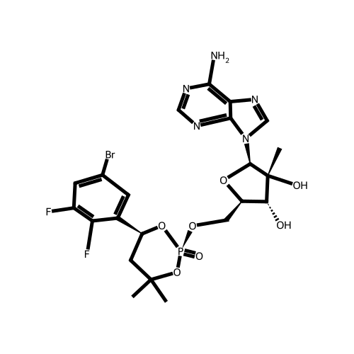 CC1(C)C[C@@H](c2cc(Br)cc(F)c2F)O[P@@](=O)(OC[C@H]2O[C@@H](n3cnc4c(N)ncnc43)[C@](C)(O)[C@@H]2O)O1